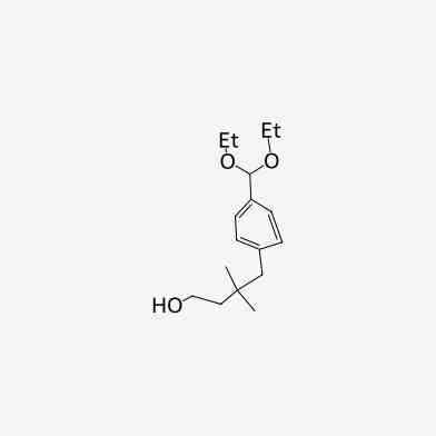 CCOC(OCC)c1ccc(CC(C)(C)CCO)cc1